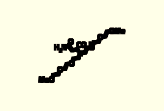 COCCOCCOCCN(CCOCCOCCOC)[C@@H](CC(N)=O)C(=O)O